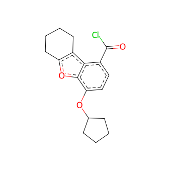 O=C(Cl)c1ccc(OC2CCCC2)c2oc3c(c12)CCCC3